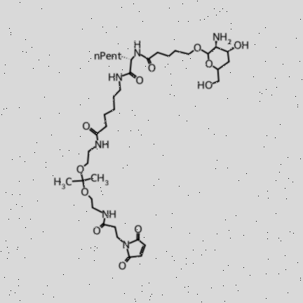 CCCCC[C@H](NC(=O)CCCCOC1OC(CO)C[C@H](O)[C@@H]1N)C(=O)NCCCCCC(=O)NCCOC(C)(C)OCCNC(=O)CCN1C(=O)C=CC1=O